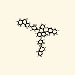 c1ccc(N(c2ccc(-c3ccc(-c4ccc5ccccc5c4)cc3)cc2)c2ccc(-c3ccc4c(ccc5ccccc54)c3)cc2)c(-c2cccc3oc4c5ccccc5ccc4c23)c1